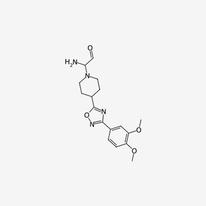 COc1ccc(-c2noc(C3CCN(C(N)C=O)CC3)n2)cc1OC